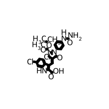 CC(C)(C)OC(=O)N1CC(=Cc2c(C(=O)O)[nH]c3cc(Cl)cc(Cl)c23)C(=O)N1c1ccc(NC(N)=O)cc1